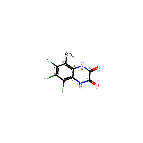 O=c1[nH]c2c(F)c(F)c(F)c([N+](=O)[O-])c2[nH]c1=O